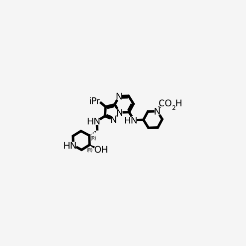 CC(C)c1c(NC[C@H]2CCNC[C@@H]2O)nn2c(NC3CCCN(C(=O)O)C3)ccnc12